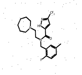 Cc1ccc(F)c(CN(CCN2CCCCCC2)C(=O)c2cc(C(F)(F)F)n[nH]2)c1